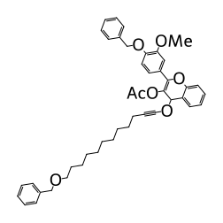 COc1cc(C2=C(OC(C)=O)C(OC#CCCCCCCCCCCOCc3ccccc3)c3ccccc3O2)ccc1OCc1ccccc1